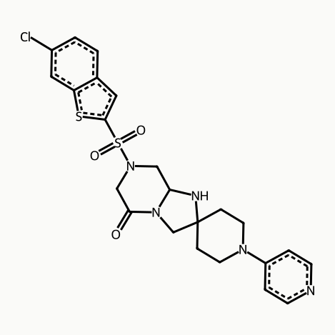 O=C1CN(S(=O)(=O)c2cc3ccc(Cl)cc3s2)CC2NC3(CCN(c4ccncc4)CC3)CN12